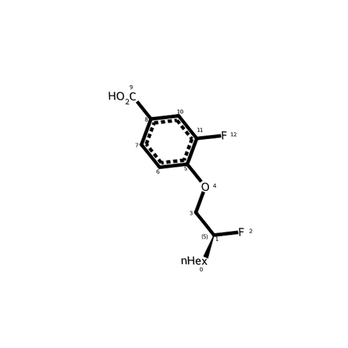 CCCCCC[C@H](F)COc1ccc(C(=O)O)cc1F